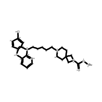 CC(C)(C)OC(=O)N1CC2(CCN(CCCCCN3c4cc(Cl)ccc4Sc4cccnc43)CC2)C1